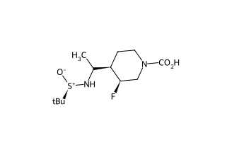 CC(N[S@+]([O-])C(C)(C)C)[C@H]1CCN(C(=O)O)C[C@H]1F